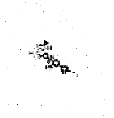 CO[C@@H]1C[C@H](S(=O)(=O)c2ccc(-c3ccc(C)nc3)cc2C(F)(F)F)C[C@H]1C(=O)NC1(C#N)CC1